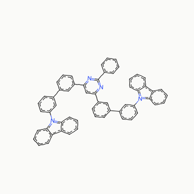 c1ccc(-c2nc(-c3cccc(-c4cccc(-n5c6ccccc6c6ccccc65)c4)c3)cc(-c3cccc(-c4cccc(-n5c6ccccc6c6ccccc65)c4)c3)n2)cc1